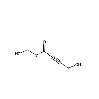 O=C(C#CCO)OCO